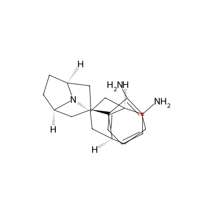 Nc1cccc([C@H]2C[C@H]3CC[C@@H](C2)N3[C@H]2C[C@@H]3CCC[C@@H](C3)C2)c1N